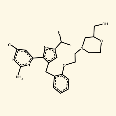 Nc1nc(Cl)cc(-c2nn(C(F)F)cc2Cc2ccccc2OCCN2CCOC(CO)C2)n1